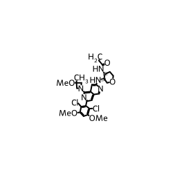 C=CC(=O)N[C@H]1CCOC[C@H]1Nc1cc2c(N3CC(C)(OC)C3)nc(-c3c(Cl)c(OC)cc(OC)c3Cl)cc2cn1